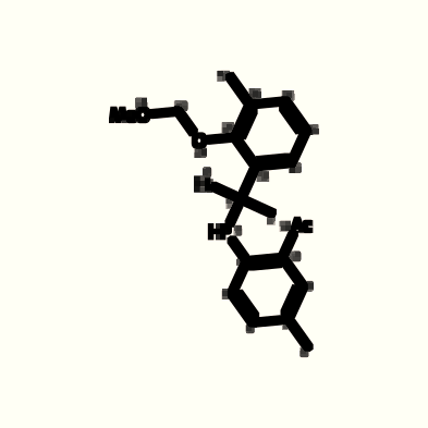 CCC(C)(Pc1ccc(C)cc1C(C)=O)c1cccc(C)c1OCOC